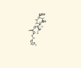 C=C(OCCOC(F)(F)F)O/C(=N\C)[C@@]1(C)CCC(SC)CN1